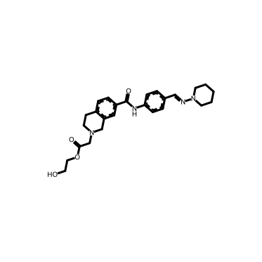 O=C(CN1CCc2ccc(C(=O)Nc3ccc(C=NN4CCCCC4)cc3)cc2C1)OCCO